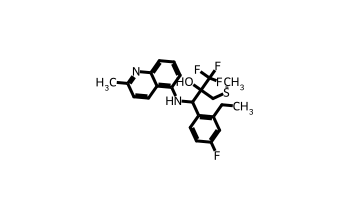 CCc1cc(F)ccc1C(Nc1cccc2nc(C)ccc12)C(O)(CSC)C(F)(F)F